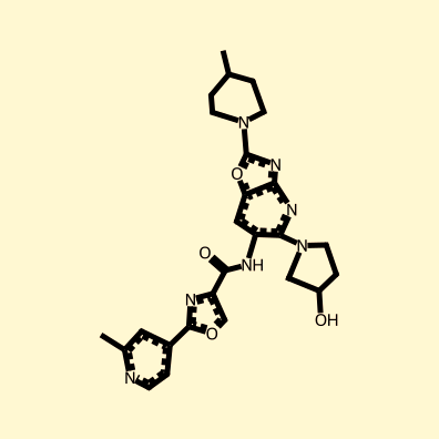 Cc1cc(-c2nc(C(=O)Nc3cc4oc(N5CCC(C)CC5)nc4nc3N3CCC(O)C3)co2)ccn1